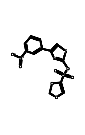 O=[N+]([O-])c1cccc(-c2csc(OS(=O)(=O)C3=COCO3)n2)c1